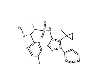 Cc1cnc([C@H](OC(C)C)[C@H](C)S(=O)(=O)Nc2nnc(-c3ccccc3)n2C2(C)CC2)nc1